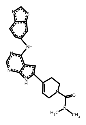 CN(C)C(=O)N1CC=C(c2cc3c(Nc4ccc5ncsc5c4)ncnc3[nH]2)CC1